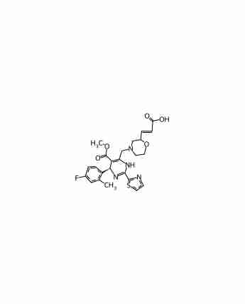 COC(=O)C1=C(CN2CCOC(/C=C/C(=O)O)C2)NC(c2nccs2)=N[C@H]1c1ccc(F)cc1C